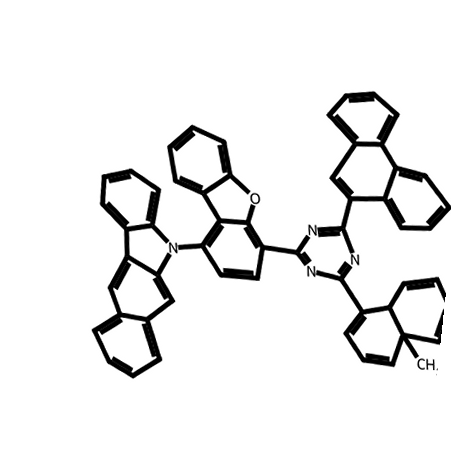 CC12C=CC=CC1C(c1nc(-c3cc4ccccc4c4ccccc34)nc(-c3ccc(-n4c5ccccc5c5cc6ccccc6cc54)c4c3oc3ccccc34)n1)=CC=C2